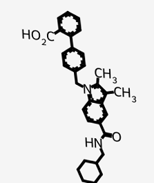 Cc1c(C)n(Cc2ccc(-c3ccccc3C(=O)O)cc2)c2ccc(C(=O)NCC3CCCCC3)cc12